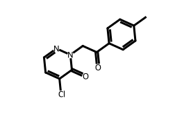 Cc1ccc(C(=O)Cn2nccc(Cl)c2=O)cc1